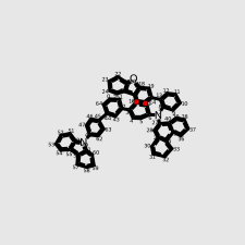 c1cc(-c2ccc(N(c3ccccc3-c3ccc4c(c3)oc3ccccc34)c3cc4ccccc4c4ccccc34)cc2)cc(-c2ccc(-n3c4ccccc4c4ccccc43)cc2)c1